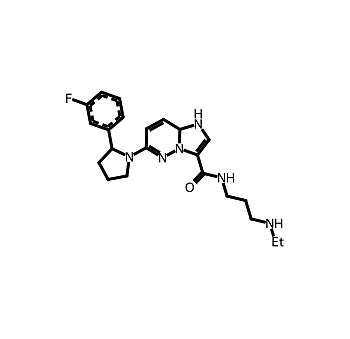 CCNCCCNC(=O)C1=CNC2C=CC(N3CCCC3c3cccc(F)c3)=NN12